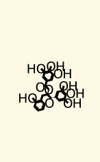 O=C(O[C@@H]1Cc2c(O)cccc2O[C@H]1c1cc(O)c(O)c(O)c1)c1cc(O)c(O)c(O)c1